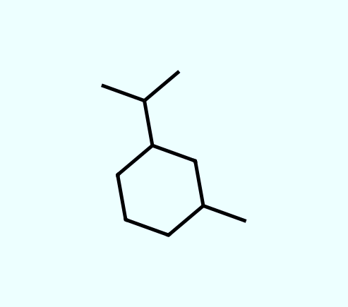 CC1CCCC(C(C)C)C1